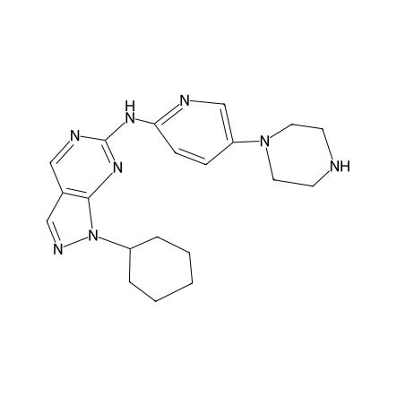 c1cc(Nc2ncc3cnn(C4CCCCC4)c3n2)ncc1N1CCNCC1